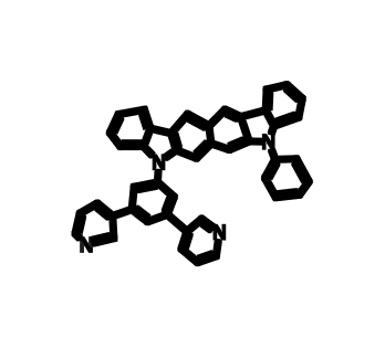 c1ccc(-n2c3ccccc3c3cc4cc5c6ccccc6n(-c6cc(-c7cccnc7)cc(-c7cccnc7)c6)c5cc4cc32)cc1